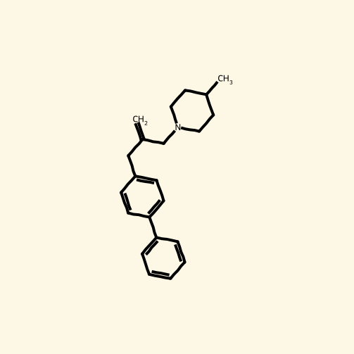 C=C(Cc1ccc(-c2ccccc2)cc1)CN1CCC(C)CC1